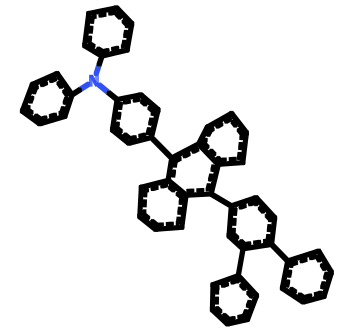 c1ccc(-c2ccc(-c3c4ccccc4c(-c4ccc(N(c5ccccc5)c5ccccc5)cc4)c4ccccc34)cc2-c2ccccc2)cc1